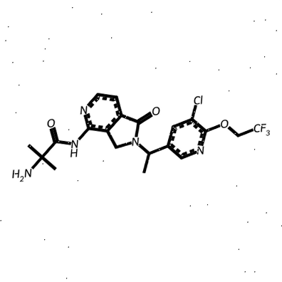 CC(c1cnc(OCC(F)(F)F)c(Cl)c1)N1Cc2c(ccnc2NC(=O)C(C)(C)N)C1=O